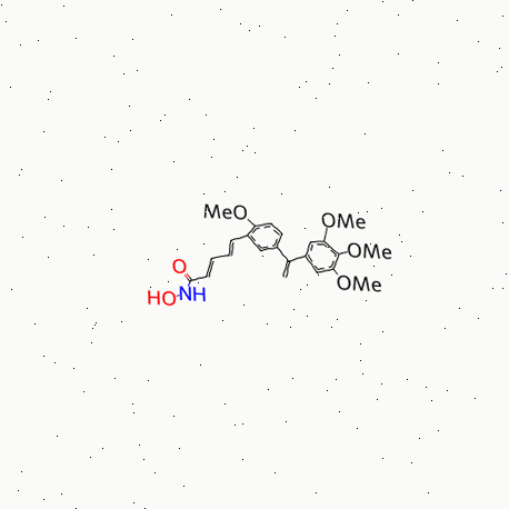 C=C(c1ccc(OC)c(/C=C/C=C/C(=O)NO)c1)c1cc(OC)c(OC)c(OC)c1